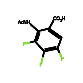 CC(=O)Nc1c(C(=O)O)cc(F)c(F)c1F